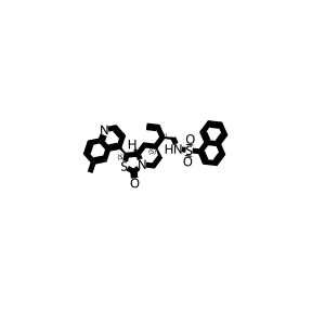 C=C[C@@H](CNS(=O)(=O)c1cccc2ccccc12)[C@H]1CCN2C(=O)S[C@@H](c3ccnc4ccc(C)cc34)[C@@H]2C1